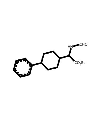 CCOC(=O)C(NC=O)C1CCC(c2ccccc2)CC1